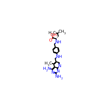 Cc1c(CNc2ccc(CN[C@@H](CC(C)C)C(=O)O)cc2)cnc2nc(N)nc(N)c12